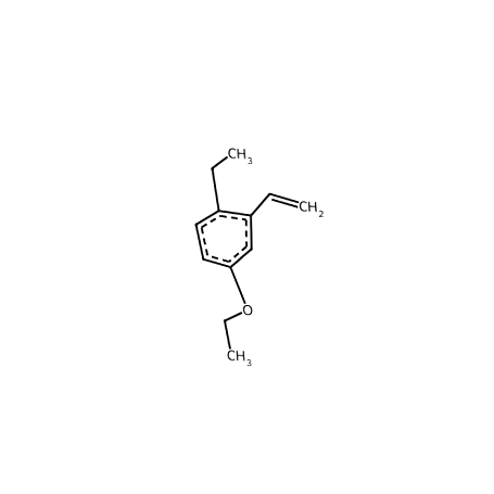 C=Cc1cc(OCC)ccc1CC